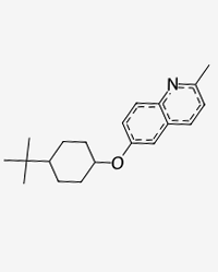 Cc1ccc2cc(OC3CCC(C(C)(C)C)CC3)ccc2n1